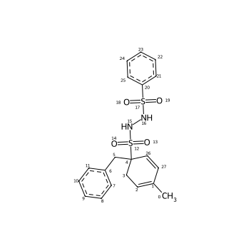 CC1=CCC(Cc2ccccc2)(S(=O)(=O)NNS(=O)(=O)c2ccccc2)C=C1